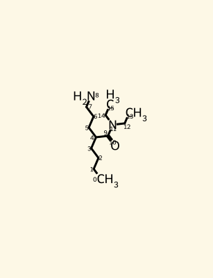 CCCCC(CCCN)C(=O)N(CC)CC